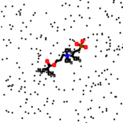 C=C(C)C(=O)OCCC[N+](C)(C)C(C)CCS(=O)(=O)[O-]